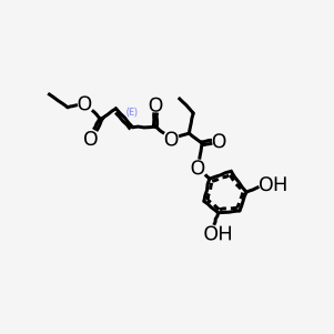 CCOC(=O)/C=C/C(=O)OC(CC)C(=O)Oc1cc(O)cc(O)c1